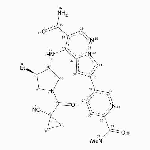 CC[C@@H]1CN(C(=O)C2(C#N)CC2)C[C@H]1Nc1c(C(N)=O)cnn2cc(-c3ccc(C(=O)NC)nc3)cc12